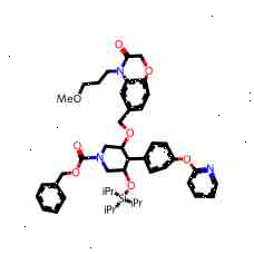 COCCCN1C(=O)COc2ccc(COC3CN(C(=O)OCc4ccccc4)CC(O[Si](C(C)C)(C(C)C)C(C)C)C3c3ccc(Oc4ccccn4)cc3)cc21